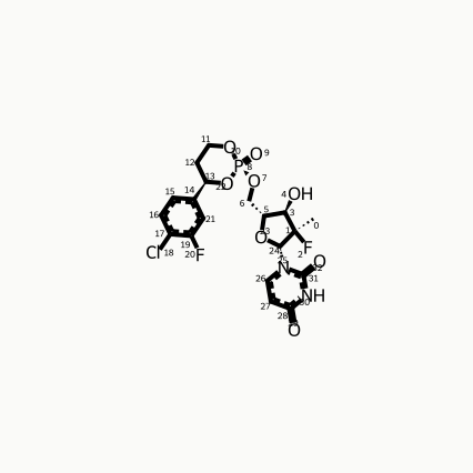 C[C@@]1(F)[C@H](O)[C@@H](CO[P@]2(=O)OCC[C@H](c3ccc(Cl)c(F)c3)O2)O[C@H]1n1ccc(=O)[nH]c1=O